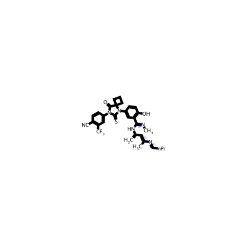 C=C(/C=C(C)/N=C/CCC)N/C(=N\C)c1cc(N2C(=S)N(c3ccc(C#N)c(C(F)(F)F)c3)C(=O)C23CCC3)ccc1O